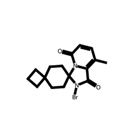 Cc1ccc(=O)n2c1C(=O)N(Br)C21CCC2(CCC2)CC1